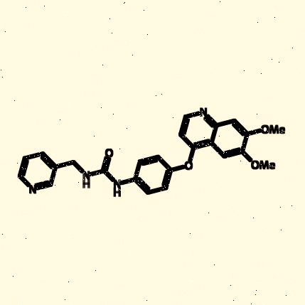 COc1cc2nccc(Oc3ccc(NC(=O)NCc4cccnc4)cc3)c2cc1OC